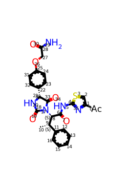 CC(=O)c1csc(NC(=O)[C@H]([C@@H](C)c2ccccc2)N2C(=O)N[C@H](c3ccc(OCC(N)=O)cc3)C2=O)n1